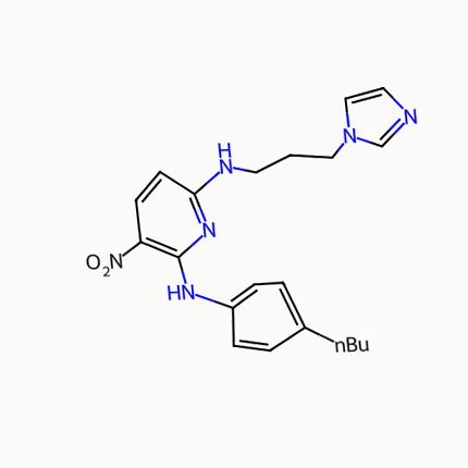 CCCCc1ccc(Nc2nc(NCCCn3ccnc3)ccc2[N+](=O)[O-])cc1